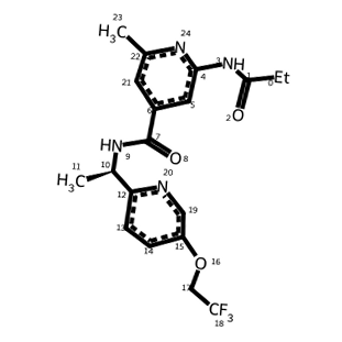 CCC(=O)Nc1cc(C(=O)N[C@H](C)c2ccc(OCC(F)(F)F)cn2)cc(C)n1